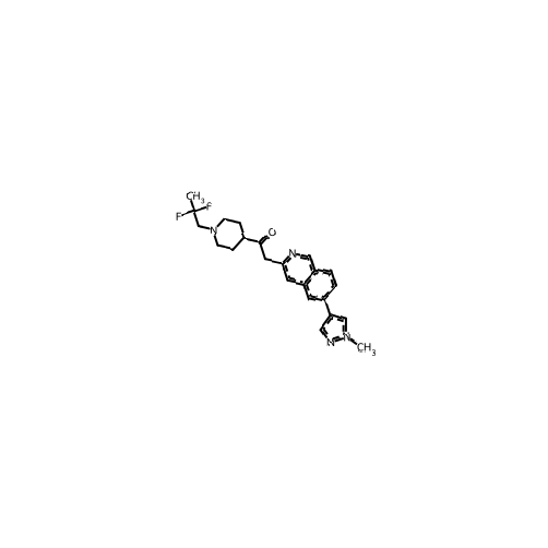 Cn1cc(-c2ccc3cnc(CC(=O)C4CCN(CC(C)(F)F)CC4)cc3c2)cn1